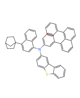 c1ccc(-c2cccc3cccc(-c4cccc(N(c5ccc6sc7ccccc7c6c5)c5ccc(C67CCC(CC6)C7)c6ccccc56)c4)c23)cc1